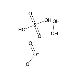 O=S(=O)(O)O.O=[O+][O-].OO